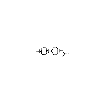 CC(C)CN1CCC(N2CCN(C)CC2)CC1